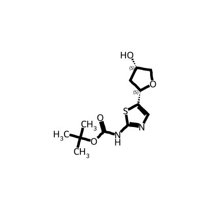 CC(C)(C)OC(=O)Nc1ncc([C@@H]2C[C@H](O)CO2)s1